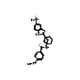 [N-]=[N+]=Nc1ccc(C(=O)NC23CCCC(c4nc5cc(C(F)(F)F)ccc5[nH]4)(C2)C3)cc1